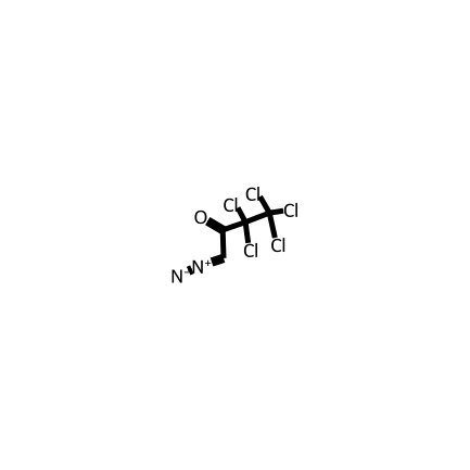 [N-]=[N+]=CC(=O)C(Cl)(Cl)C(Cl)(Cl)Cl